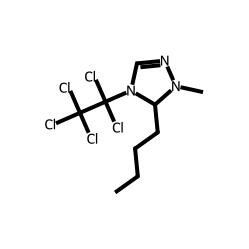 CCCCC1N(C)N=CN1C(Cl)(Cl)C(Cl)(Cl)Cl